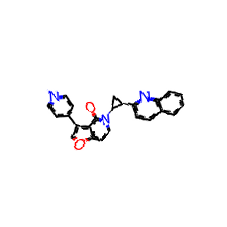 O=c1c2c(-c3ccncc3)coc2ccn1[C@@H]1C[C@H]1c1ccc2ccccc2n1